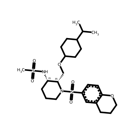 CC(C)C1CCC(OC[C@H]2[C@@H](NS(C)(=O)=O)CCCN2S(=O)(=O)c2ccc3c(c2)CCCO3)CC1